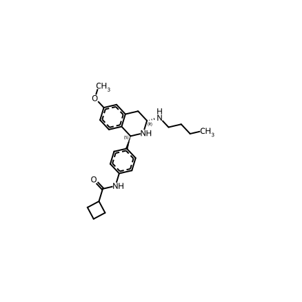 CCCCN[C@H]1Cc2cc(OC)ccc2[C@H](c2ccc(NC(=O)C3CCC3)cc2)N1